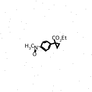 CCOC(=O)C1(c2ccc([N+](C)=O)cc2)CC1